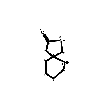 O=C1CC2(CCCCN2)CN1